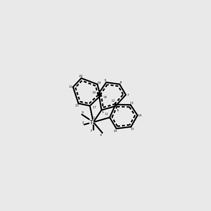 [CH3][Ti]([CH3])([CH3])([CH3])([c]1ccccc1)([c]1ccccc1)[c]1ccccc1